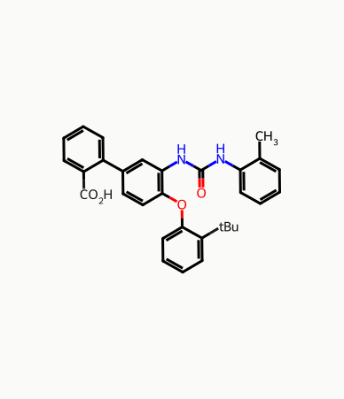 Cc1ccccc1NC(=O)Nc1cc(-c2ccccc2C(=O)O)ccc1Oc1ccccc1C(C)(C)C